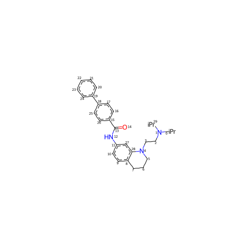 CC(C)N(CCN1CCCc2ccc(NC(=O)c3ccc(-c4ccccc4)cc3)cc21)C(C)C